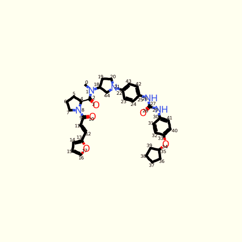 CN(C(=O)[C@@H]1CCCN1C(=O)/C=C/c1ccco1)C1CCN(c2ccc(NC(=O)Nc3ccc(OC4CCCC4)cc3)cc2)C1